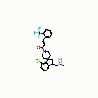 CNCC1CC2(CCN(C(=O)/C=C/c3ccccc3C(F)(F)F)CC2)c2c(Cl)cccc21